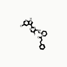 O=C(CCc1ccccc1)N1CCCC[C@@H]1CNc1nc(-c2c[nH]c3ncc(Cl)cc23)ncc1F